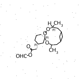 CC1CC2CC(C2)C[C@@H](C)OO[C@@]2(CCC[C@@H](CC(=O)OC=O)C2)O1